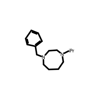 CC(C)N1CCCCN(Cc2ccccc2)CC1